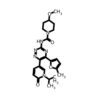 COC1CCN(C(=O)Nc2nnc(-c3ccc(=O)n(C(C)C)c3)c(-c3ccc(C)o3)n2)CC1